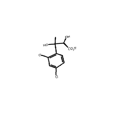 CC(O)(c1ccc(Cl)cc1Cl)C(O)C(=O)O